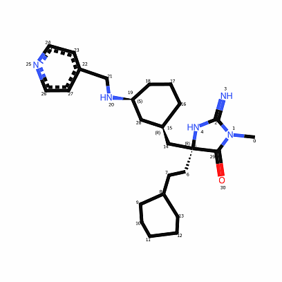 CN1C(=N)N[C@](CCC2CCCCC2)(C[C@@H]2CCC[C@H](NCc3ccncc3)C2)C1=O